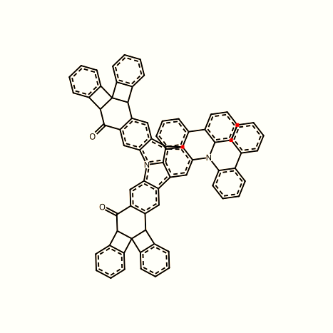 O=C1c2cc3c(cc2C2c4ccccc4C24c2ccccc2C14)c1cc(N(c2ccccc2-c2ccccc2)c2ccccc2-c2ccccc2)cc2c4cc5c(cc4n3c12)C(=O)C1c2ccccc2C12c1ccccc1C52